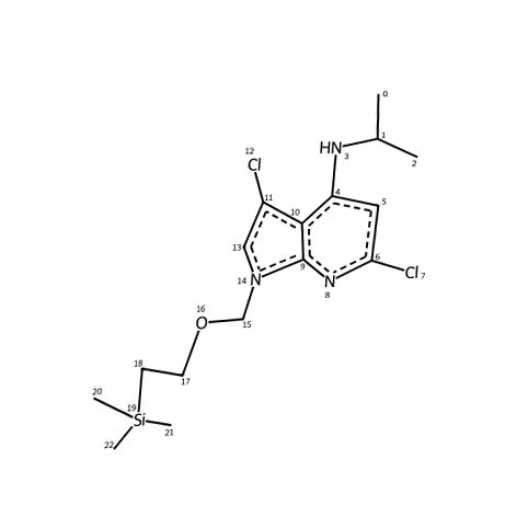 CC(C)Nc1cc(Cl)nc2c1c(Cl)cn2COCC[Si](C)(C)C